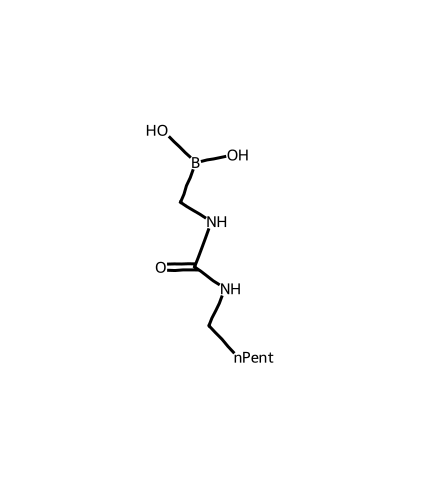 CCCCCCNC(=O)NCB(O)O